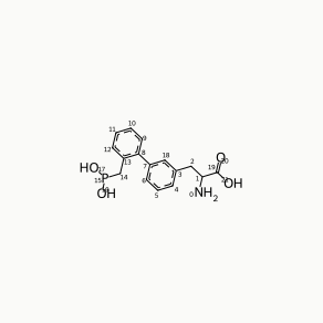 NC(Cc1cccc(-c2ccccc2CP(O)O)c1)C(=O)O